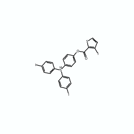 O=C(Oc1ccc([SH](c2ccc(I)cc2)c2ccc(I)cc2)cc1)c1sccc1I